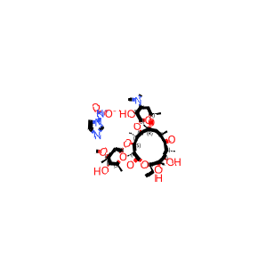 CC[C@H]1OC(=O)[C@H](C)[C@@H](O[C@H]2C[C@@](C)(OC)[C@@H](O)[C@H](C)O2)[C@H](C)[C@@H](O[C@@H]2O[C@H](C)C[C@H](N(C)C)[C@H]2O)[C@](C)(OC)C[C@@H](C)C(=O)[C@H](C)[C@@H](O)[C@]1(C)O.O=[N+]([O-])n1ccnc1